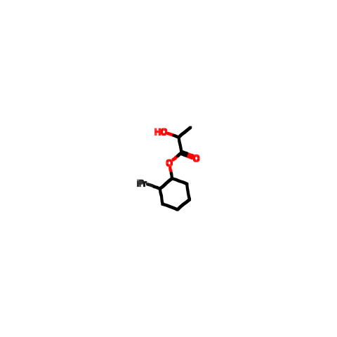 CC(O)C(=O)OC1CCCCC1C(C)C